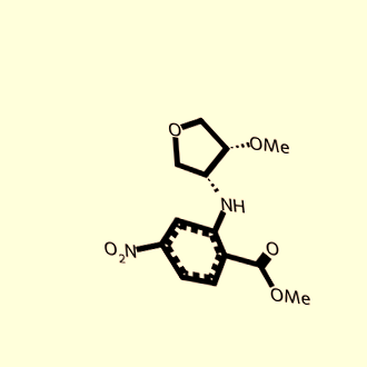 COC(=O)c1ccc([N+](=O)[O-])cc1N[C@@H]1COC[C@@H]1OC